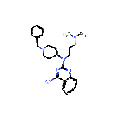 CN(C)CCCN(c1nc(N)c2ccccc2n1)C1CCN(Cc2ccccc2)CC1